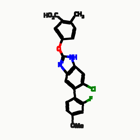 COc1ccc(-c2cc3nc(Oc4ccc(C)c(C(=O)O)c4)[nH]c3cc2Cl)c(F)c1